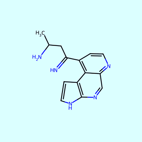 CC(N)CC(=N)c1ccnc2cnc3[nH]ccc3c12